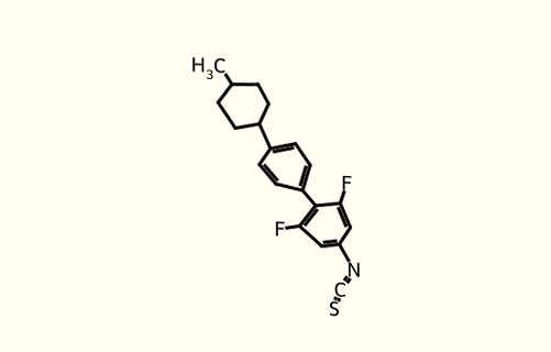 CC1CCC(c2ccc(-c3c(F)cc(N=C=S)cc3F)cc2)CC1